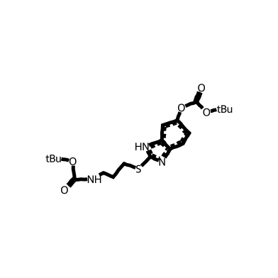 CC(C)(C)OC(=O)NCCCSc1nc2ccc(OC(=O)OC(C)(C)C)cc2[nH]1